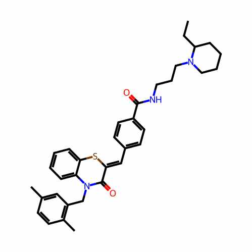 CCC1CCCCN1CCCNC(=O)c1ccc(/C=C2\Sc3ccccc3N(Cc3cc(C)ccc3C)C2=O)cc1